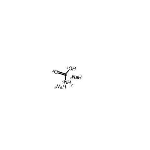 NC(=O)O.[NaH].[NaH]